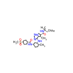 COC[C@H](C)NC(=O)c1cn2ncnc(Nc3cc(NC(=O)c4ccc(S(C)(=O)=O)cc4)ccc3C)c2c1C